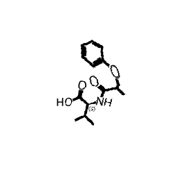 CC(Oc1ccccc1)C(=O)N[C@H](C(=O)O)C(C)C